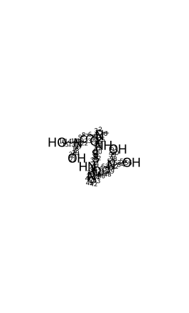 CC1C=CC(/C=C/c2ccc(N(CCCCO)CCCCO)cc2)=[N+]1CC(=O)NCCSSCCNC(=O)C[n+]1ccccc1/C=C/c1ccc(N(CCCCO)CCCCO)cc1